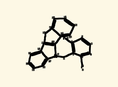 Fc1cccc(F)c1Cn1c2c(c3ccccc31)Cc1ccccc1-2